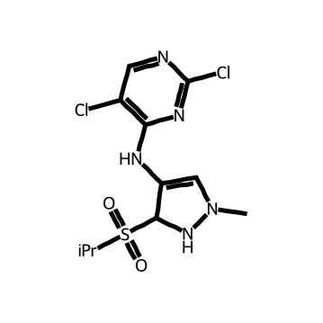 CC(C)S(=O)(=O)C1NN(C)C=C1Nc1nc(Cl)ncc1Cl